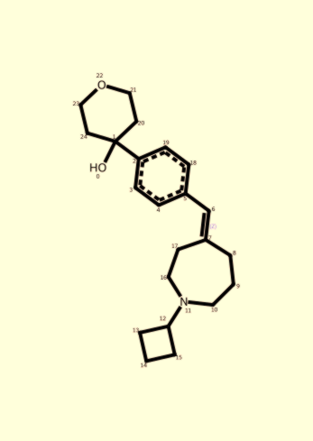 OC1(c2ccc(/C=C3/CCCN(C4CCC4)CC3)cc2)CCOCC1